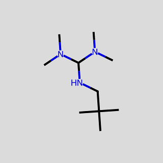 CN(C)C(NCC(C)(C)C)N(C)C